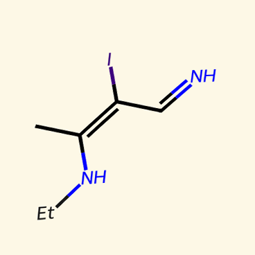 CCN/C(C)=C(/I)C=N